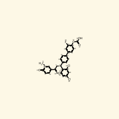 Cn1cc(/C(C[C@@H](c2ccc(-c3ccc(OC(=O)O)c(F)c3)cc2)c2ccc(Cl)cc2Cl)=N/O)ccc1=O